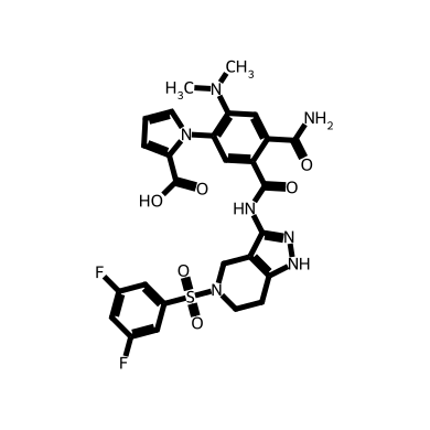 CN(C)c1cc(C(N)=O)c(C(=O)Nc2n[nH]c3c2CN(S(=O)(=O)c2cc(F)cc(F)c2)CC3)cc1-n1cccc1C(=O)O